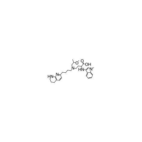 COC(C)CN(CCCCc1ccc2c(n1)NCCC2)CCC(Nc1cn(C)c2ccccc12)C(=O)O